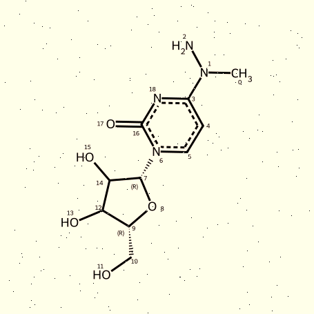 CN(N)c1ccn([C@@H]2O[C@H](CO)C(O)C2O)c(=O)n1